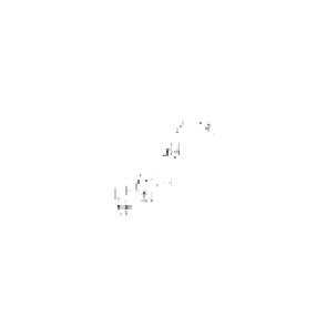 C#CCn1cc(-c2cnc3c(Nc4ccc(C(=O)NN5CCN(C(=O)C6CCN(C(=O)O)CC6)CC5)c(CC)c4)nccn23)c(C(F)(F)F)n1